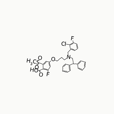 CS(=O)(=O)c1cc(OCCCN(Cc2cccc(F)c2Cl)CC(c2ccccc2)c2ccccc2)cc(F)c1C(=O)O